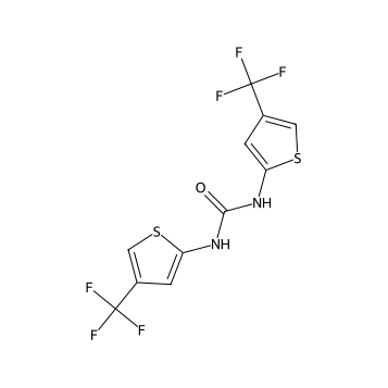 O=C(Nc1cc(C(F)(F)F)cs1)Nc1cc(C(F)(F)F)cs1